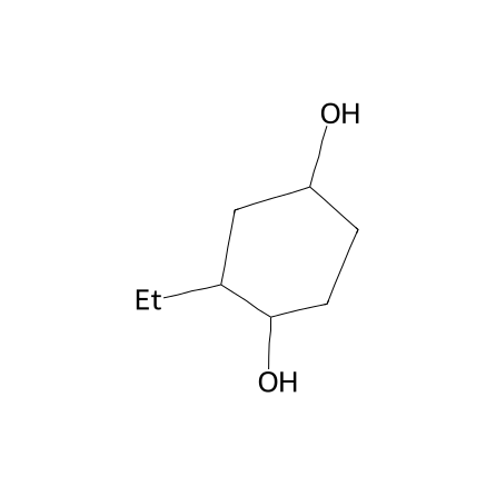 CCC1CC(O)CCC1O